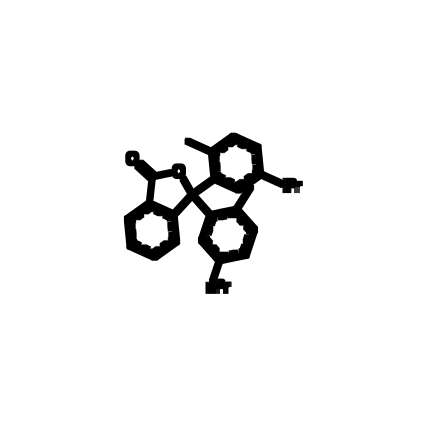 CCCc1ccc(C)c(C2(c3cc(C(C)C)ccc3C)OC(=O)c3ccccc32)c1